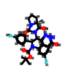 CC(C)(C)OC(=O)N1c2cc(F)cc3c(=O)[nH]nc(c23)C(N2C(=O)N3CCC[C@@]3(C)C2=O)C1c1ccc(F)cc1